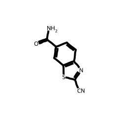 N#Cc1nc2ccc(C(N)=O)cc2s1